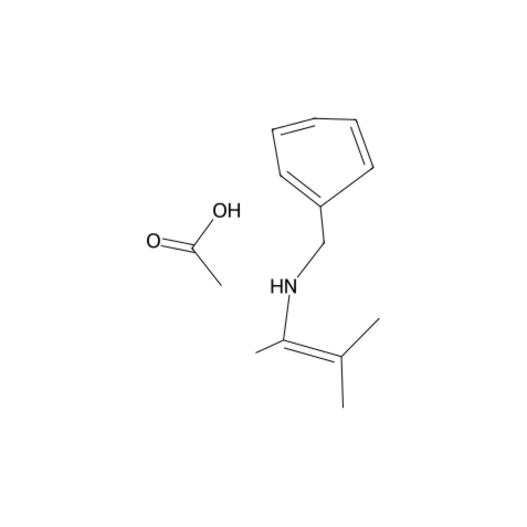 CC(=O)O.CC(C)=C(C)NCc1ccccc1